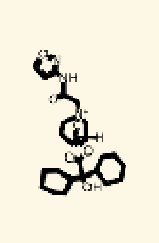 O=C(C[N+]12CCC(CC1)[C@@H](OC(=O)C(O)(C1CCCCC1)C1CCCCC1)C2)Nc1ccon1